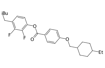 CCC(C)Cc1ccc(OC(=O)c2ccc(OCC3CCC(CC)CC3)cc2)c(F)c1F